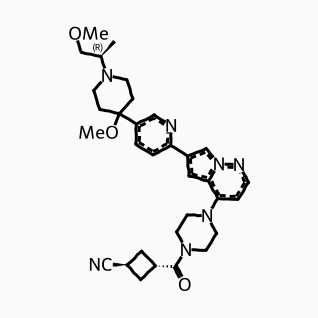 COC[C@@H](C)N1CCC(OC)(c2ccc(-c3cc4c(N5CCN(C(=O)[C@H]6C[C@H](C#N)C6)CC5)ccnn4c3)nc2)CC1